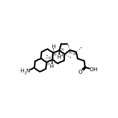 C[C@H](CCC(=O)O)[C@H]1CC[C@H]2[C@@H]3CCC4CC(N)CC[C@]4(C)[C@H]3CC[C@]12C